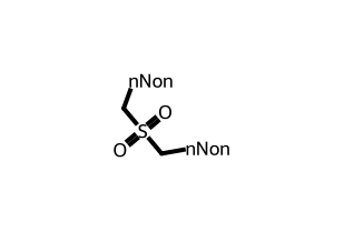 CCCCCCCCCCS(=O)(=O)CCCCCCCCCC